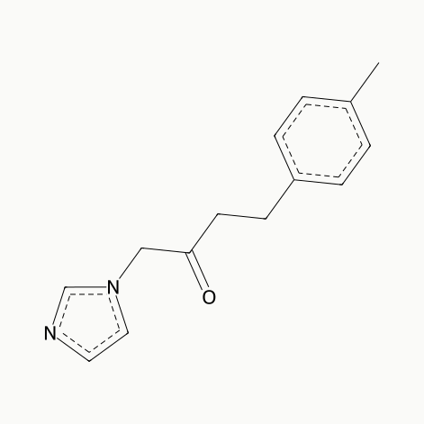 Cc1ccc(CCC(=O)Cn2ccnc2)cc1